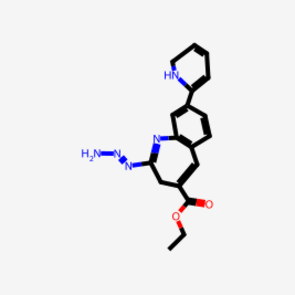 CCOC(=O)C1=Cc2ccc(C3=CC=CCN3)cc2N=C(N=NN)C1